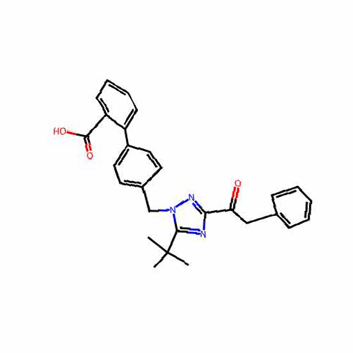 CC(C)(C)c1nc(C(=O)Cc2ccccc2)nn1Cc1ccc(-c2ccccc2C(=O)O)cc1